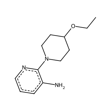 CCOC1CCN(c2ncccc2N)CC1